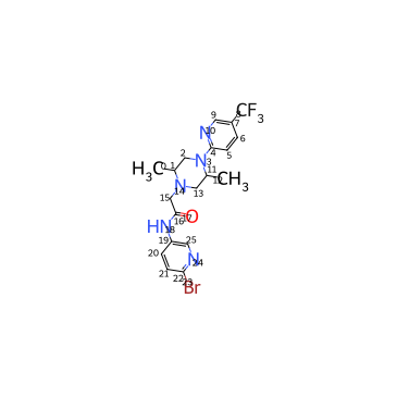 CC1CN(c2ccc(C(F)(F)F)cn2)C(C)CN1CC(=O)Nc1ccc(Br)nc1